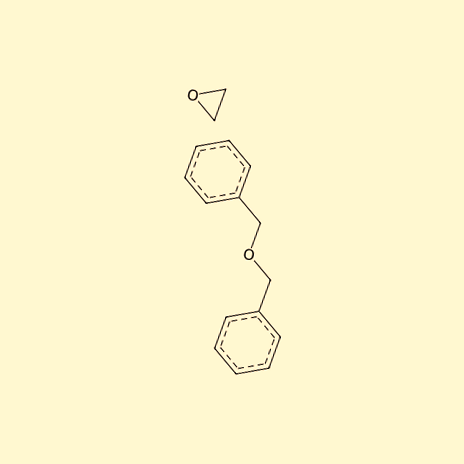 C1CO1.c1ccc(COCc2ccccc2)cc1